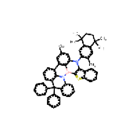 Cc1cc2c(cc1N1c3cc(C(C)(C)C)cc4c3B(c3sc5ccccc5c31)N1c3ccccc3C(c3ccccc3)(c3ccccc3)c3cccc-4c31)C(C)(C)CCC2(C)C